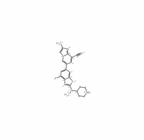 Cc1cn2cc(-c3cc(F)c4nc(N(C)C5CCNCC5)sc4c3)cc(C#N)c2n1